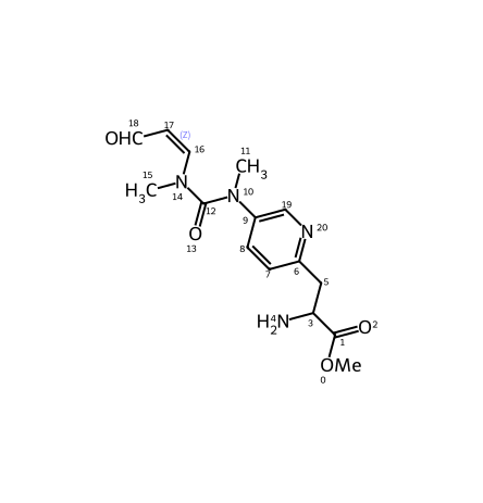 COC(=O)C(N)Cc1ccc(N(C)C(=O)N(C)/C=C\C=O)cn1